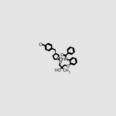 CC(O)(CNN1CC[C@@H](Cc2ccc(Cl)cc2)C1)COc1ccccc1NC(=O)c1ccccc1